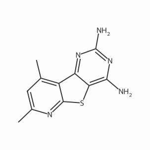 Cc1cc(C)c2c(n1)sc1c(N)nc(N)nc12